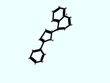 c1ccc(-c2ccc(-c3cccc4ccccc34)s2)cc1